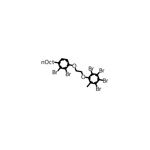 CCCCCCCCc1ccc(OCCOc2c(C)c(Br)c(Br)c(Br)c2Br)c(Br)c1Br